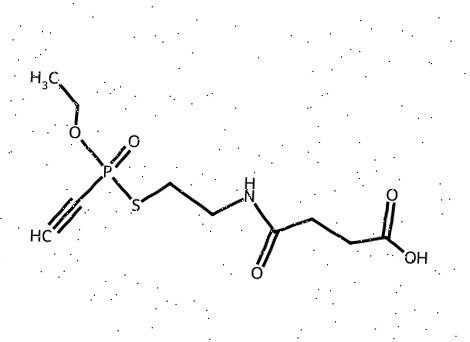 C#CP(=O)(OCC)SCCNC(=O)CCC(=O)O